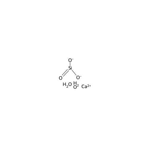 O.O.O=[Si]([O-])[O-].[Ca+2]